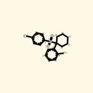 O=S(=O)(c1ccc(Cl)cc1)C1(c2ccccc2F)CCCCC1